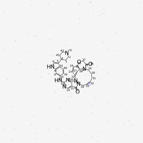 CN1CCC(c2c[nH]c3cc(Nc4ncc5c(=O)n6n(c5n4)-c4ccc5c(c4)N(CCC/C=C\C6)C(=O)CO5)ccc23)CC1